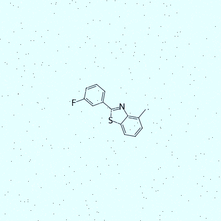 [CH2]c1cccc2sc(-c3cccc(F)c3)nc12